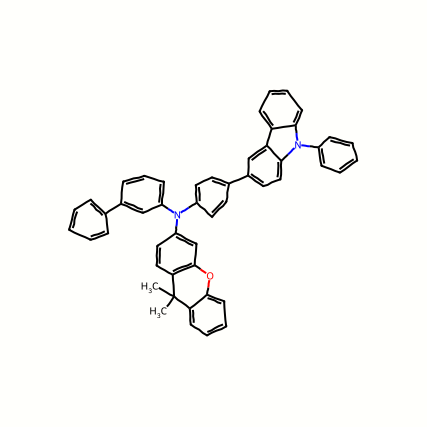 CC1(C)c2ccccc2Oc2cc(N(c3ccc(-c4ccc5c(c4)c4ccccc4n5-c4ccccc4)cc3)c3cccc(-c4ccccc4)c3)ccc21